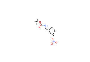 CC(C)(C)OC(=O)NCC1CCCC(CO[N+](=O)[O-])C1